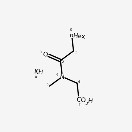 CCCCCCCC(=O)N(C)CC(=O)O.[KH]